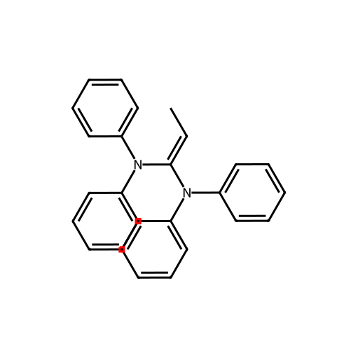 CC=C(N(c1ccccc1)c1ccccc1)N(c1ccccc1)c1ccccc1